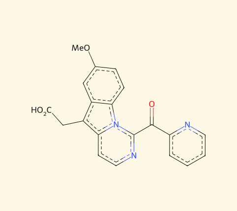 COc1ccc2c(c1)c(CC(=O)O)c1ccnc(C(=O)c3ccccn3)n12